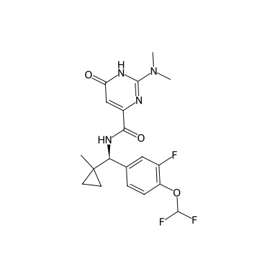 CN(C)c1nc(C(=O)N[C@@H](c2ccc(OC(F)F)c(F)c2)C2(C)CC2)cc(=O)[nH]1